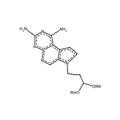 COC(CCn1ccc2c3c(N)nc(N)nc3ccc21)OC